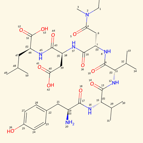 CCN(C)C(=O)C[C@H](NC(=O)[C@@H](NC(=O)[C@@H](NC(=O)[C@@H](N)Cc1ccc(O)cc1)C(C)C)C(C)C)C(=O)N[C@@H](CC(=O)O)C(=O)N[C@@H](CC(C)C)C(=O)O